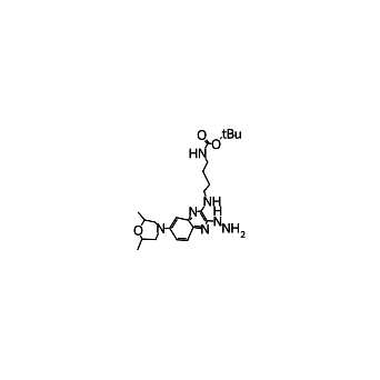 CC1CN(c2ccc3nc(NN)c(NCCCCNC(=O)OC(C)(C)C)nc3c2)CC(C)O1